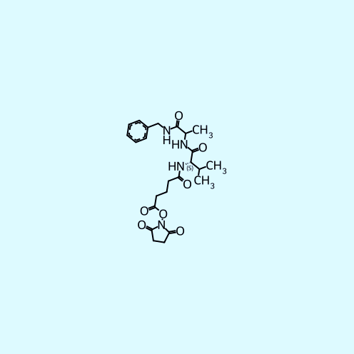 CC(NC(=O)[C@@H](NC(=O)CCCC(=O)ON1C(=O)CCC1=O)C(C)C)C(=O)NCc1ccccc1